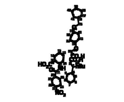 CCCCC(CC(=O)O)c1ccccc1.O=C(Nc1ccccc1C(=O)O)c1ccc([N+](=O)[O-])cc1.O=C(O)COc1ccc(OCc2ccccc2)cc1